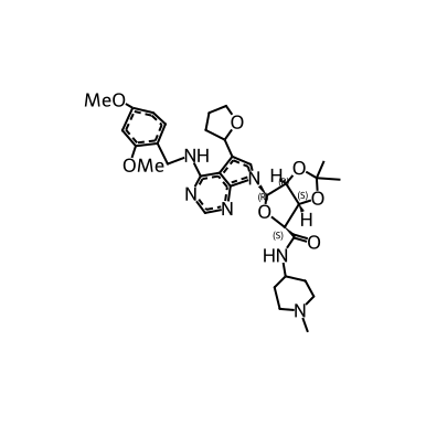 COc1ccc(CNc2ncnc3c2c(C2CCCO2)cn3[C@@H]2O[C@H](C(=O)NC3CCN(C)CC3)[C@H]3OC(C)(C)O[C@H]32)c(OC)c1